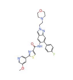 COc1cncc(-c2nc(C(=O)Nc3cc4cn(CCN5CCOCC5)nc4cc3-c3ccc(F)cc3)cs2)c1